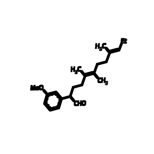 CC/C=C(\C)CC/C(C)=C(\C)CCC(C=O)c1cccc(OC)c1